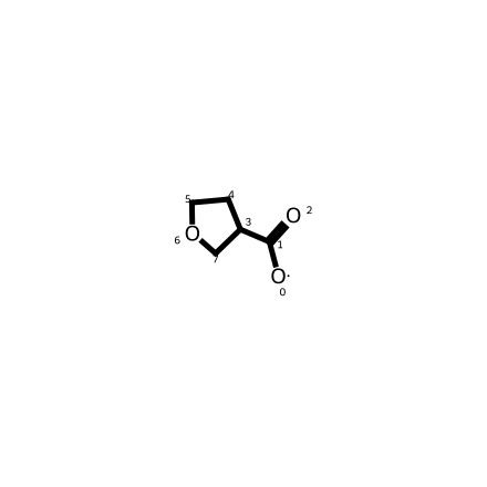 [O]C(=O)C1CCOC1